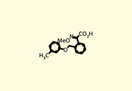 CO/N=C(/C(=O)O)c1ccccc1COc1cccc(C)c1